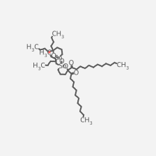 CCCCCCCCCCCC(=O)C1(C(=O)CCCCCCCCCCC)CC[CH2][Sn]([CH2]CCC)([O][Sn]2([CH2]CCC)[CH2]CCC(CCCC)(CCCC)[O]2)[O]1